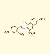 O=[N+]([O-])c1ccc(/N=N/c2c(S(=O)(=O)O)cc3cc(S(=O)(=O)O)ccc3c2O)c([N+](=O)[O-])c1